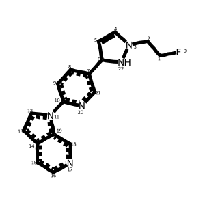 FCCN1C=CC(c2ccc(-n3ccc4ccncc43)nc2)N1